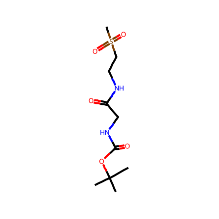 CC(C)(C)OC(=O)NCC(=O)NCCS(C)(=O)=O